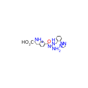 NC(=NC(=O)c1ccc(CC(N)C(=O)O)cc1)NCc1ccccc1-n1nccn1